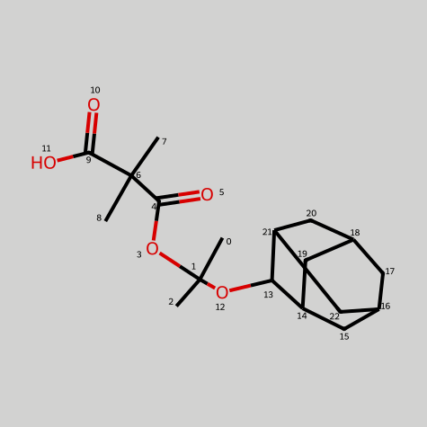 CC(C)(OC(=O)C(C)(C)C(=O)O)OC1C2CC3CC(C2)CC1C3